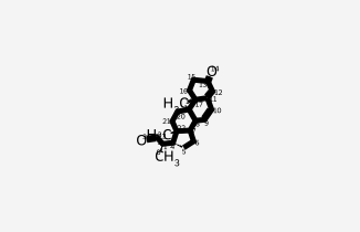 C[C@H](C=O)[C@H]1CCC2C3C=CC4=CC(=O)CC[C@@]4(C)C3CC[C@@]21C